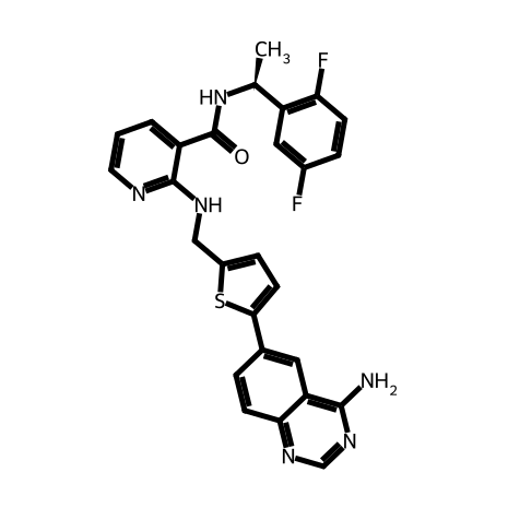 C[C@H](NC(=O)c1cccnc1NCc1ccc(-c2ccc3ncnc(N)c3c2)s1)c1cc(F)ccc1F